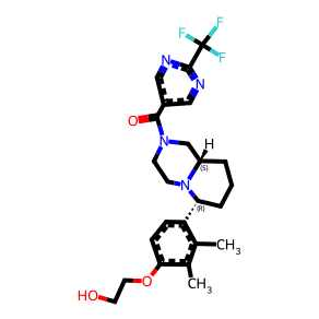 Cc1c(OCCO)ccc([C@H]2CCC[C@H]3CN(C(=O)c4cnc(C(F)(F)F)nc4)CCN32)c1C